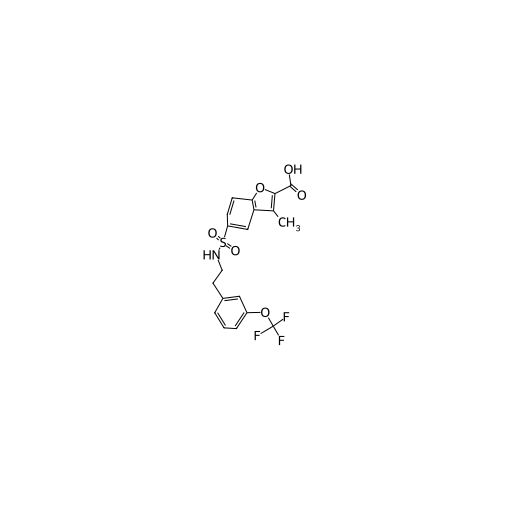 Cc1c(C(=O)O)oc2ccc(S(=O)(=O)NCCc3cccc(OC(F)(F)F)c3)cc12